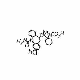 Cl.NC(=O)N1c2ccccc2CC(=O)c2ccccc21.NCC1(CC(=O)O)CCCCC1